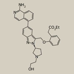 CCOC(=O)Cc1ccccc1OCc1c2cc(-c3cccc4c(N)nccc34)ccc2nn1[C@H]1CCN(CCO)C1